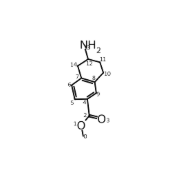 COC(=O)c1ccc2c(c1)CCC(N)C2